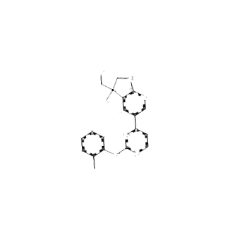 Cc1ccccc1Nc1nccc(-c2cnc3c(c2)C(C)(CO)CN3)n1